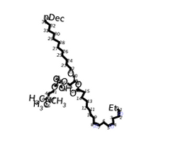 CC/C=C\C/C=C\C/C=C\CCCCCCCC(=O)O[C@H](COCCCCCCCCCCCCCCCCCCCCCC)COP(=O)(O)OCC[N+](C)(C)C